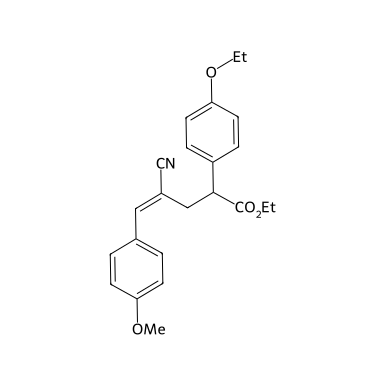 CCOC(=O)C(CC(C#N)=Cc1ccc(OC)cc1)c1ccc(OCC)cc1